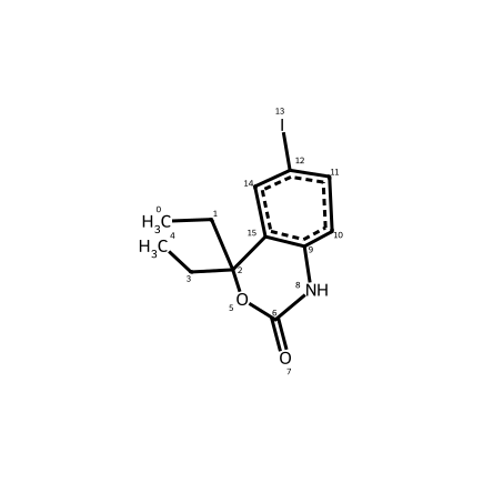 CCC1(CC)OC(=O)Nc2ccc(I)cc21